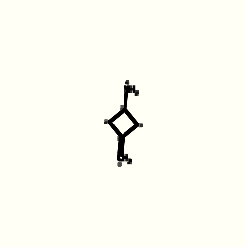 C=C1CC(N)C1